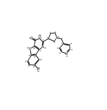 O=c1[nH]c(C2CCN(Cc3ccncc3)C2)nc2c1oc1ccc(Br)cc12